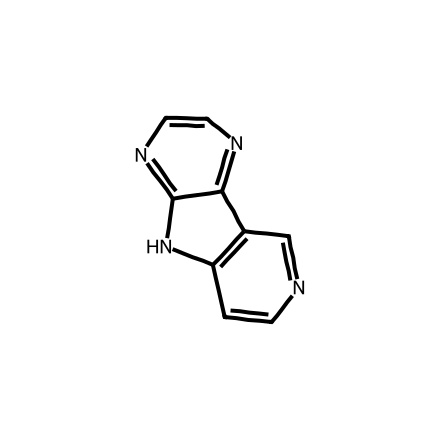 c1cc2[nH]c3nccnc3c2cn1